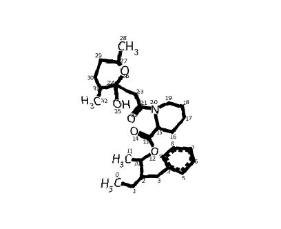 CCC(Cc1ccccc1)C(C)OC(=O)C1CCCCN1C(=O)CC1(O)OC(C)CCC1C